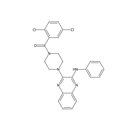 O=C(c1cc(Cl)ccc1Cl)N1CCN(c2nc3ccccc3nc2Nc2ccccc2)CC1